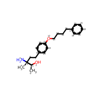 C[C@H](O)[C@](C)(N)CCc1ccc(OCCCCc2ccccc2)cc1